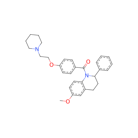 COc1ccc2c(c1)CCC(c1ccccc1)N2C(=O)c1ccc(OCCN2CCCCC2)cc1